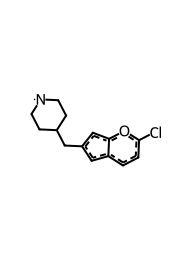 Clc1ccc2cc(CC3CC[N]CC3)cc-2o1